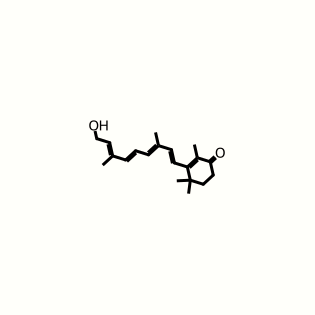 CC(C=CC1=C(C)C(=O)CCC1(C)C)=CC=CC(C)=CCO